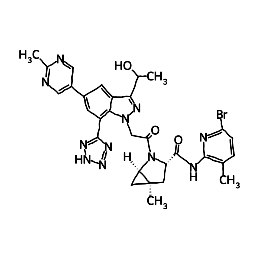 Cc1ncc(-c2cc(-c3nn[nH]n3)c3c(c2)c(C(C)O)nn3CC(=O)N2[C@H](C(=O)Nc3nc(Br)ccc3C)C[C@@]3(C)C[C@@H]23)cn1